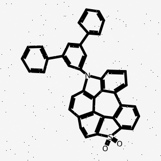 O=S1(=O)c2cccc3c2-c2c1ccc1ccc4c(c21)c1c-3cccc1n4-c1cc(-c2ccccc2)cc(-c2ccccc2)c1